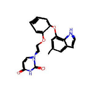 Cc1cc(Oc2ccccc2OCCn2ccc(=O)[nH]c2=O)c2[nH]ccc2c1